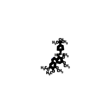 COc1cc(/C=C\c2ccc(OC)c(OC)c2NSc2ccc(C(C)(C)C)cc2)cc(OC)c1OC